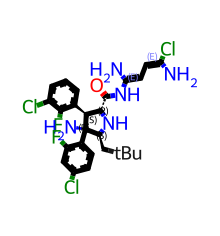 CC(C)(C)C[C@@H]1N[C@@H](C(=O)N/C(N)=C/C=C(\N)Cl)[C@H](c2cccc(Cl)c2F)[C@@]1(N)c1ccc(Cl)cc1F